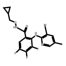 Cc1cnc(Nc2c(C(=O)NOCC3CC3)cc(F)c(F)c2F)c(Br)c1